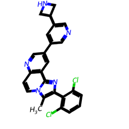 Cc1c(-c2c(Cl)cccc2Cl)nc2c3cc(-c4cncc(C5CNC5)c4)cnc3ccn12